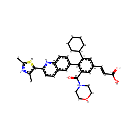 Cc1nc(C)c(-c2ccc3cc(-c4c(C(=O)N5CCOCC5)cc(C=CC(=O)O)cc4C4CCCCC4)ccc3n2)s1